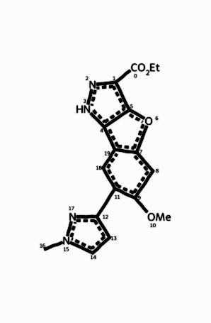 CCOC(=O)c1n[nH]c2c1oc1cc(OC)c(-c3ccn(C)n3)cc12